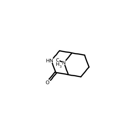 CN1C2CCCC1C(=O)NC2